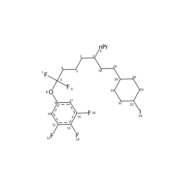 CCCC(CCCC(F)(F)Oc1cc(F)c(F)c(F)c1)CCC1CCC(I)CC1